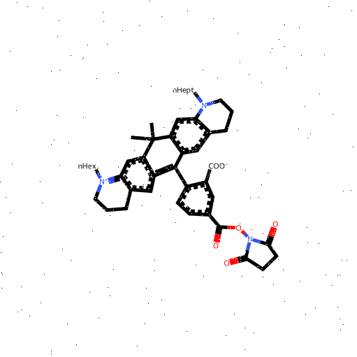 CCCCCCCN1CCCc2cc3c(cc21)C(C)(C)c1cc2c(cc1=C3c1ccc(C(=O)ON3C(=O)CCC3=O)cc1C(=O)[O-])CCC[N+]=2CCCCCC